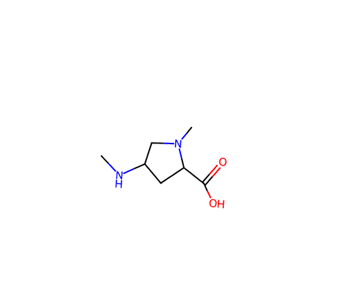 CNC1CC(C(=O)O)N(C)C1